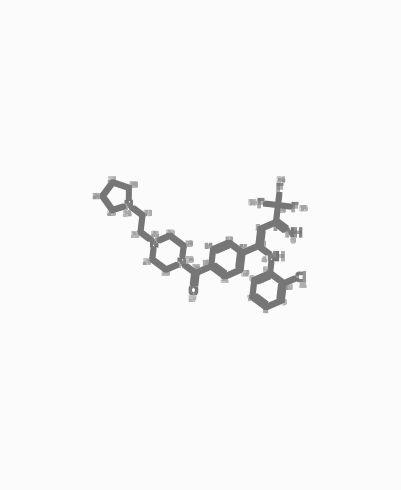 N=C(/C=C(\Nc1ccccc1Cl)c1ccc(C(=O)N2CCN(CCN3CCCC3)CC2)cc1)C(F)(F)F